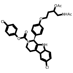 CC(=O)NCC(CCOc1ccc([C@H]2C3=C(CCN2C(=O)Oc2ccc(Cl)cc2)C2C=C(Cl)C=CC2N3)cc1)OC(C)=O